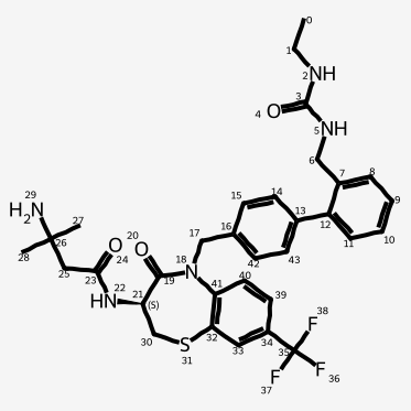 CCNC(=O)NCc1ccccc1-c1ccc(CN2C(=O)[C@H](NC(=O)CC(C)(C)N)CSc3cc(C(F)(F)F)ccc32)cc1